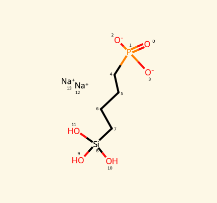 O=P([O-])([O-])CCCC[Si](O)(O)O.[Na+].[Na+]